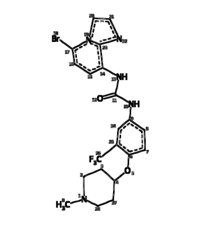 CN1CCC(Oc2ccc(NC(=O)Nc3ccc(Br)n4ccnc34)cc2C(F)(F)F)CC1